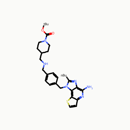 CCCCc1nc2c(N)nc3ccsc3c2n1Cc1ccc(CNCC2CCN(C(=O)OC(C)(C)C)CC2)cc1